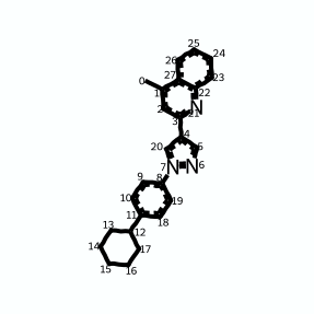 Cc1cc(-c2cnn(-c3ccc(C4CCCCC4)cc3)c2)nc2ccccc12